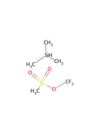 CS(=O)(=O)OC(F)(F)F.C[SiH](C)C